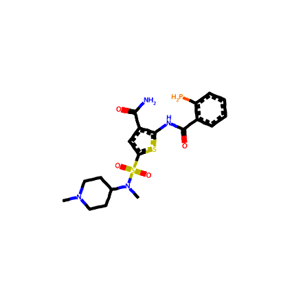 CN1CCC(N(C)S(=O)(=O)c2cc(C(N)=O)c(NC(=O)c3ccccc3P)s2)CC1